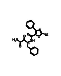 CCc1nc(-c2ccccc2)c(C(=O)N[C@@H](Cc2ccccc2)C(=O)C(N)=O)o1